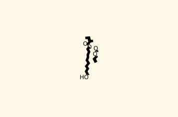 C=CCOC=O.CC=C(C)C(=O)OCCCCCCCCCCO